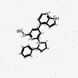 CC(C)(C)Oc1cc(-c2ccnc3[nH]ccc23)cc(N2CCCC2c2ccccc2)n1